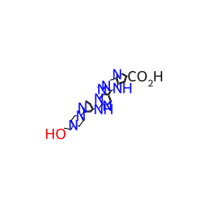 Cc1ncc(C(=O)O)cc1Nc1nn(C)c2nc(Nc3ccnc(N4CCN(CCO)CC4)c3)ncc12